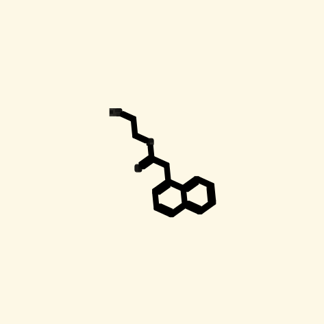 O=C(Cc1cccc2ccccc12)OCCO